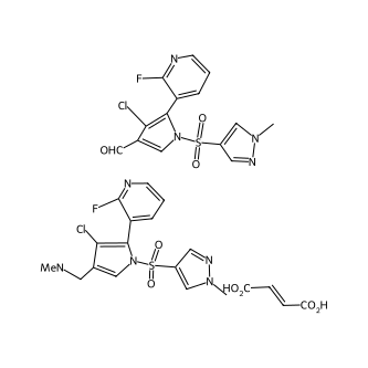 CNCc1cn(S(=O)(=O)c2cnn(C)c2)c(-c2cccnc2F)c1Cl.Cn1cc(S(=O)(=O)n2cc(C=O)c(Cl)c2-c2cccnc2F)cn1.O=C(O)C=CC(=O)O